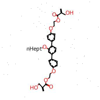 C=C(CO)C(=O)OCCOc1ccc(-c2ccc(-c3ccc(OCCOC(=O)C(=C)CO)cc3)c(OCCCCCCC)c2)cc1